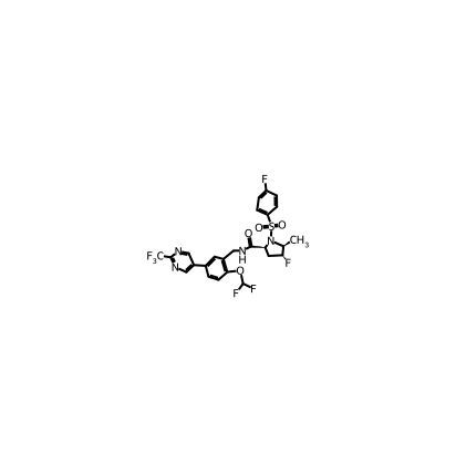 C[C@H]1[C@H](F)C[C@@H](C(=O)NCc2cc(-c3cnc(C(F)(F)F)nc3)ccc2OC(F)F)N1S(=O)(=O)c1ccc(F)cc1